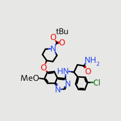 COc1cc2ncnc(NC(CC(N)=O)c3cccc(Cl)c3)c2cc1OC1CCN(C(=O)OC(C)(C)C)CC1